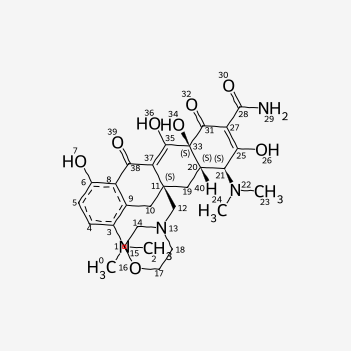 CN(C)c1ccc(O)c2c1C[C@@]1(CN3CCOCC3)C[C@H]3[C@H](N(C)C)C(O)=C(C(N)=O)C(=O)[C@@]3(O)C(O)=C1C2=O